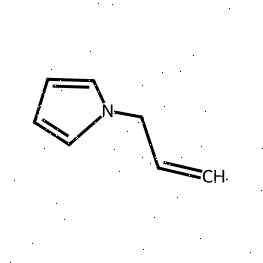 [CH]=CCn1cccc1